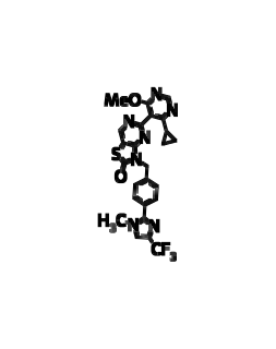 COc1ncnc(C2CC2)c1-c1ncc2sc(=O)n(Cc3ccc(-c4nc(C(F)(F)F)cn4C)cc3)c2n1